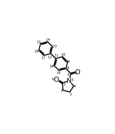 O=C1CCCN1C(=O)c1ccc(-c2ccccc2)cc1